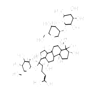 CC(C)=CCC[C@](C)(O[C@@H]1O[C@H](CO)[C@@H](O)C(O)[C@H]1O)[C@H]1CC[C@]2(C)[C@H]1[C@H](O)CC1[C@@]3(C)CC[C@H](O)C(C)(C)[C@@H]3[C@@H](O[C@@H]3O[C@H](CO)[C@@H](O)[C@H](O)[C@H]3O[C@@H]3O[C@@H](C)[C@H](O)[C@@H](O)[C@H]3O)C[C@]12C